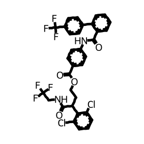 O=C(OCCC(C(=O)NCC(F)(F)F)c1c(Cl)cccc1Cl)c1ccc(NC(=O)c2ccccc2-c2ccc(C(F)(F)F)cc2)cc1